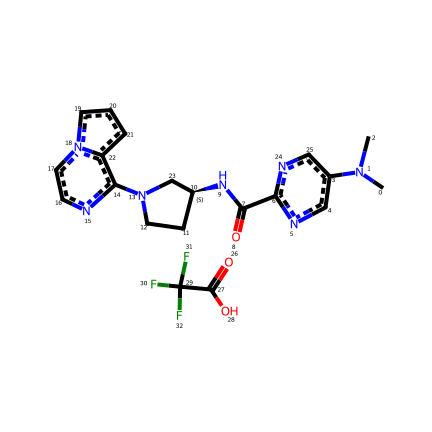 CN(C)c1cnc(C(=O)N[C@H]2CCN(c3nccn4cccc34)C2)nc1.O=C(O)C(F)(F)F